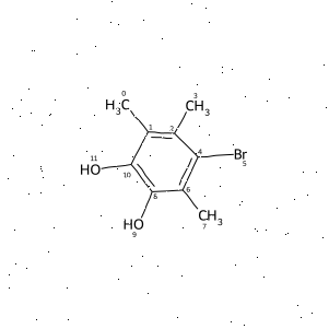 Cc1c(C)c(Br)c(C)c(O)c1O